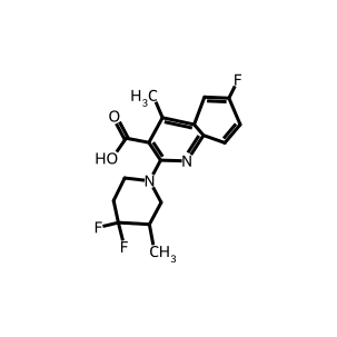 Cc1c(C(=O)O)c(N2CCC(F)(F)C(C)C2)nc2ccc(F)cc12